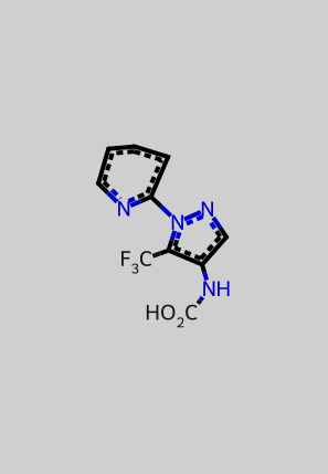 O=C(O)Nc1cnn(-c2ccccn2)c1C(F)(F)F